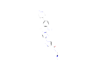 COc1cc(C2CCNCC2)ccc1Nc1nccc(-n2cc(C(=O)NCC#N)cn2)n1